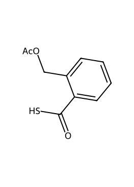 CC(=O)OCc1ccccc1C(=O)S